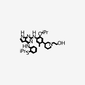 Cc1cc(Nc2nc(Nc3ccccc3SC(C)C)c3cc[nH]c3n2)c(OC(C)C)cc1C1CCCN(CCO)C1